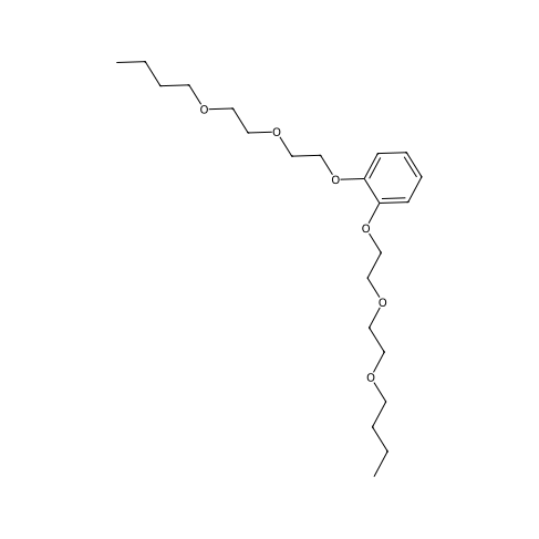 CCCCOCCOCCOc1ccccc1OCCOCCOCCCC